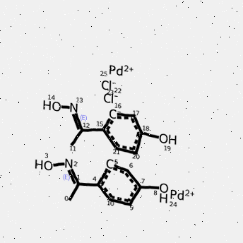 C/C(=N\O)c1[c-]cc(O)cc1.C/C(=N\O)c1[c-]cc(O)cc1.[Cl-].[Cl-].[Pd+2].[Pd+2]